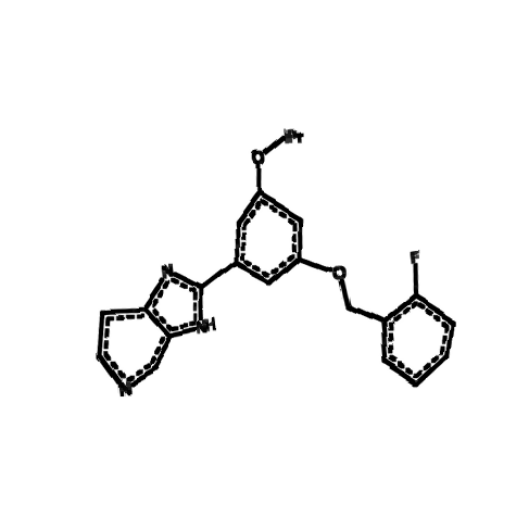 CC(C)Oc1cc(OCc2ccccc2F)cc(-c2nc3ccncc3[nH]2)c1